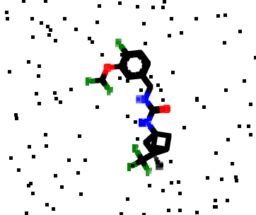 O=C(NCc1ccc(F)c(OC(F)F)c1)NC12CC(C1)[C@@H](C(F)(F)F)C2